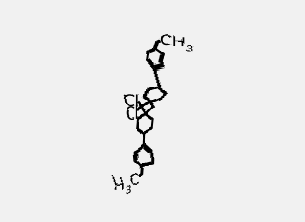 CCc1ccc(C2CCC3(CC2)CC2(CCC(c4ccc(CC)cc4)CC2)C3(Cl)Cl)cc1